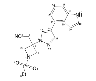 CCS(=O)(=O)N1CC(CC#N)(n2cc(-c3cccc4[nH]ccc34)cn2)C1